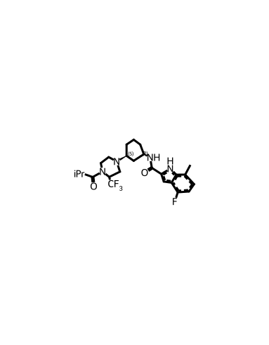 Cc1ccc(F)c2cc(C(=O)N[C@@H]3CCC[C@H](N4CCN(C(=O)C(C)C)C(C(F)(F)F)C4)C3)[nH]c12